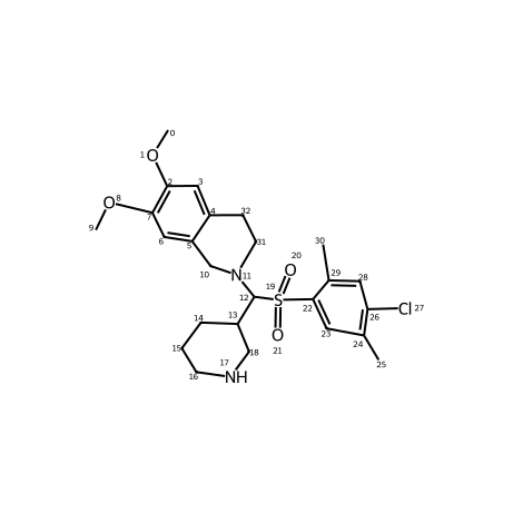 COc1cc2c(cc1OC)CN(C(C1CCCNC1)S(=O)(=O)c1cc(C)c(Cl)cc1C)CC2